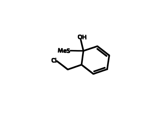 CSC1(O)C=CC=CC1CCl